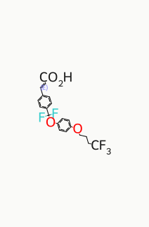 O=C(O)/C=C/c1ccc(C(F)(F)Oc2ccc(OCCCC(F)(F)F)cc2)cc1